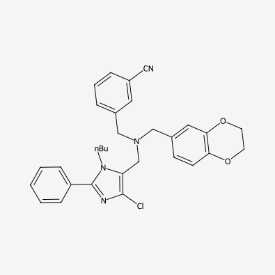 CCCCn1c(-c2ccccc2)nc(Cl)c1CN(Cc1cccc(C#N)c1)Cc1ccc2c(c1)OCCO2